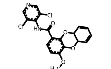 COc1ccc(C(=O)Nc2c(Cl)cncc2Cl)c2c1OC1C=CC=CC1O2